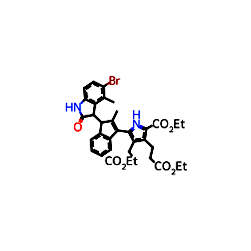 CCOC(=O)CCc1c(C(=O)OCC)[nH]c(C2=C(C)C(C3C(=O)Nc4ccc(Br)c(C)c43)c3ccccc32)c1CC(=O)OCC